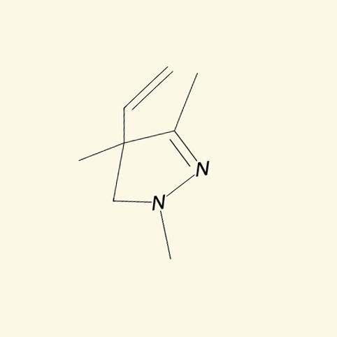 C=CC1(C)CN(C)N=C1C